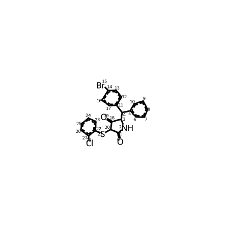 O=C1NC(C(c2ccccc2)c2ccc(Br)cc2)C(=O)C1Sc1ccccc1Cl